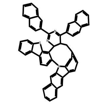 c1ccc2cc(C3=NC4c5c(ccc6c5sc5ccccc56)-n5c6cc(ccc6c6cc7ccccc7cc65)CC4C(c4ccc5ccccc5c4)=N3)ccc2c1